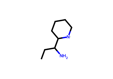 CCC(N)C1CCCC[N]1